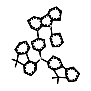 CC1(C)c2ccccc2-c2ccc(N(c3ccc(-c4cccc5c6ccccc6n(-c6ccccc6)c45)cc3)c3cccc4c3-c3ccccc3C4(C)C)cc21